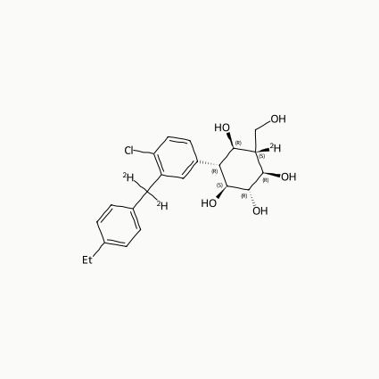 [2H]C([2H])(c1ccc(CC)cc1)c1cc([C@H]2[C@H](O)[C@@H](O)[C@H](O)[C@@]([2H])(CO)[C@@H]2O)ccc1Cl